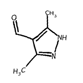 Cc1n[nH]c(C)c1C=O